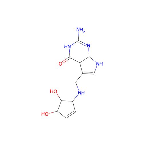 NC1=NC2NC=C(CNC3C=CC(O)C3O)C2C(=O)N1